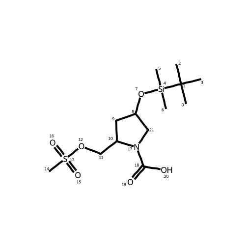 CC(C)(C)[Si](C)(C)OC1CC(COS(C)(=O)=O)N(C(=O)O)C1